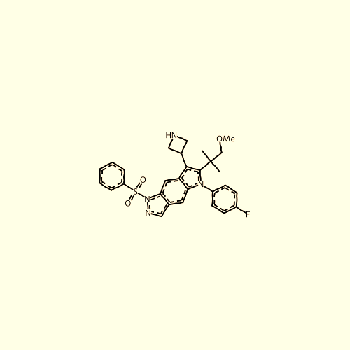 COCC(C)(C)c1c(C2CNC2)c2cc3c(cnn3S(=O)(=O)c3ccccc3)cc2n1-c1ccc(F)cc1